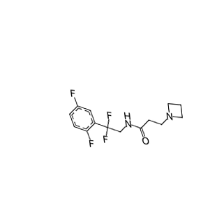 O=C(CCN1CCC1)NCC(F)(F)c1cc(F)ccc1F